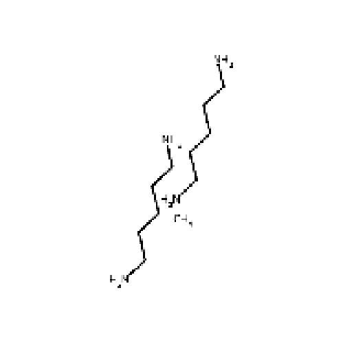 C.NCCCCCN.NCCCCCN